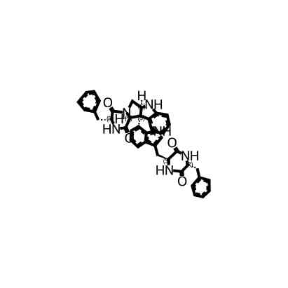 O=C1N[C@H](Cc2ccccc2)C(=O)N[C@H]1Cc1c[nH]c2c([C@@]34c5ccccc5N[C@@H]3CN3C(=O)[C@@H](Cc5ccccc5)NC(=O)[C@@H]34)cccc12